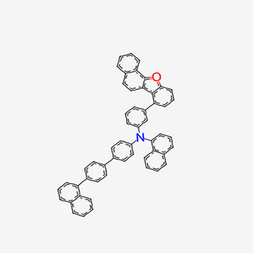 c1cc(-c2cccc3oc4c5ccccc5ccc4c23)cc(N(c2ccc(-c3ccc(-c4cccc5ccccc45)cc3)cc2)c2cccc3ccccc23)c1